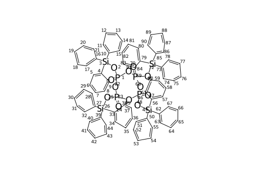 O=P1(O[Si](c2ccccc2)(c2ccccc2)c2ccccc2)OP(=O)(O[Si](c2ccccc2)(c2ccccc2)c2ccccc2)OP(=O)(O[Si](c2ccccc2)(c2ccccc2)c2ccccc2)OP(=O)(O[Si](c2ccccc2)(c2ccccc2)c2ccccc2)O1